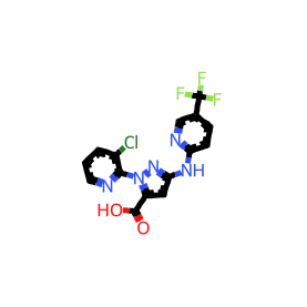 O=C(O)c1cc(Nc2ccc(C(F)(F)F)cn2)nn1-c1ncccc1Cl